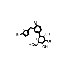 OC[C@H]1OC(c2ccc(Cl)c(Cc3ccc(Br)s3)c2)[C@H](O)[C@@H](O)[C@@H]1O